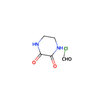 O=C1NCCNC1=O.O=CCl